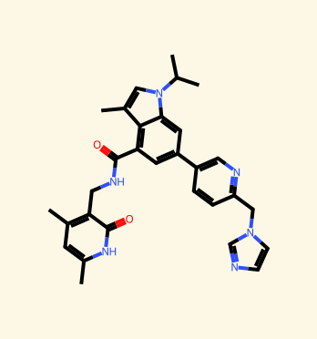 Cc1cc(C)c(CNC(=O)c2cc(-c3ccc(Cn4ccnc4)nc3)cc3c2c(C)cn3C(C)C)c(=O)[nH]1